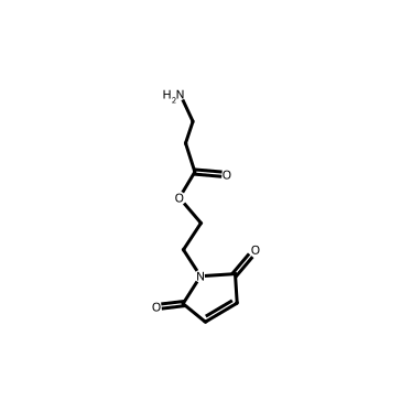 NCCC(=O)OCCN1C(=O)C=CC1=O